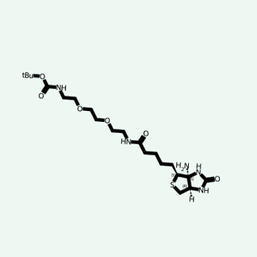 CC(C)(C)OC(=O)NCCOCCOCCNC(=O)CCCC[C@@H]1SC[C@@H]2NC(=O)N[C@@]21N